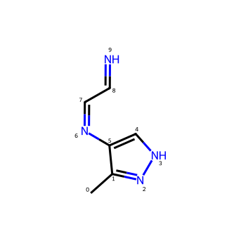 Cc1n[nH]cc1/N=C\C=N